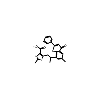 Cc1cc(C(C)Cc2sc(C)nc2C(=O)O)c2oc(-c3ccccc3)cc(=O)c2c1